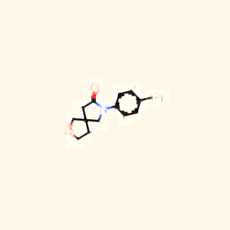 CC(C)c1ccc(N2CC3(CCOC3)CC2=O)cc1